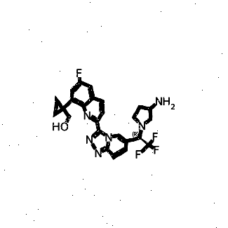 NC1CCN([C@H](c2ccc3nnc(-c4ccc5cc(F)cc(C6(CO)CC6)c5n4)n3c2)C(F)(F)F)C1